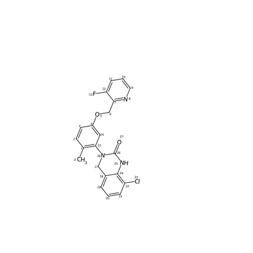 Cc1ccc(OCc2ncccc2F)cc1N1Cc2cccc(Cl)c2NC1=O